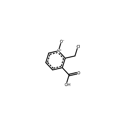 O=C(O)c1ccc[n+]([O-])c1CCl